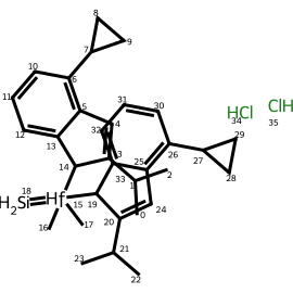 CC(C)C1=Cc2c(C3CC3)cccc2[CH]1[Hf]([CH3])([CH3])(=[SiH2])[CH]1C(C(C)C)=Cc2c(C3CC3)cccc21.Cl.Cl